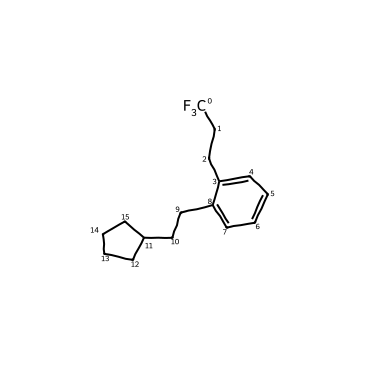 FC(F)(F)CCc1ccccc1CCC1CCCC1